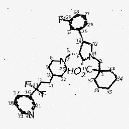 O=C(O)C1(CN2C[C@H](CN3CCC(CCC(F)(F)c4cccnc4)CC3)[C@@H](c3cccc(F)c3)C2)CCCCC1